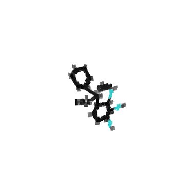 CO[C@](C(=O)O)(c1ccccc1)c1ccc(F)c(F)c1F